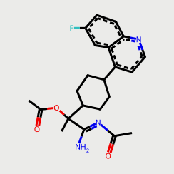 CC(=O)N=C(N)C(C)(OC(C)=O)C1CCC(c2ccnc3ccc(F)cc23)CC1